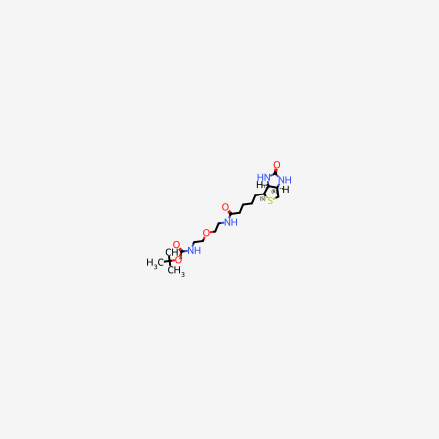 CC(C)(C)OC(=O)NCCOCCNC(=O)CCCC[C@@H]1SC[C@@H]2NC(=O)N[C@@H]21